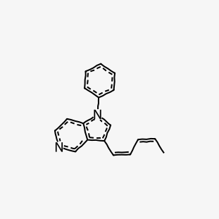 C/C=C\C=C/c1cn(-c2ccccc2)c2ccncc12